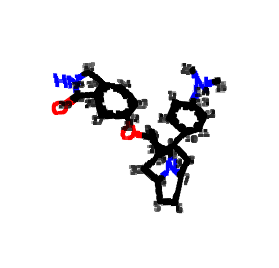 CCCN1C2CCC1CC(c1ccc(N(C)C)cc1)=C(COc1ccc3c(c1)C(=O)NC3)C2